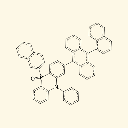 O=P1(c2ccc3ccccc3c2)c2ccccc2N(c2ccccc2)c2cc(-c3c4ccccc4c(-c4cccc5ccccc45)c4ccccc34)ccc21